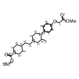 COC(=O)COc1ccc(N2CCN(CCC3CCN(C(=O)OC(C)(C)C)CC3)CC2C)cc1